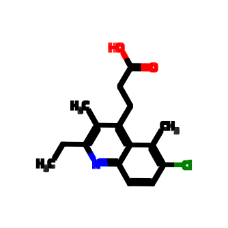 CCc1nc2ccc(Cl)c(C)c2c(CCC(=O)O)c1C